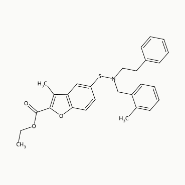 CCOC(=O)c1oc2ccc(SN(CCc3ccccc3)Cc3ccccc3C)cc2c1C